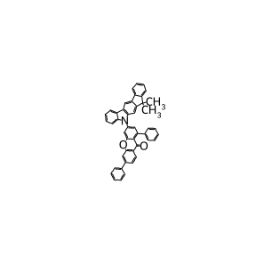 CC1(C)c2ccccc2-c2cc3c4ccccc4n(-c4cc(-c5ccccc5)c5c(=O)c6ccc(-c7ccccc7)cc6oc5c4)c3cc21